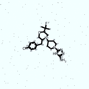 CC(C)(F)C1CN(C2CCN(c3nnc(N)[nH]3)CC2)C(Cc2ccc(Cl)cc2)CO1